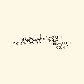 O=C(O)CCC(NC(=O)NC(CCCCNc1nc(-c2ccc(-n3cc(CCCF)nn3)cc2)cs1)C(=O)O)C(=O)O